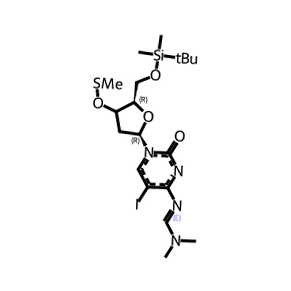 CSOC1C[C@H](n2cc(I)c(/N=C/N(C)C)nc2=O)O[C@@H]1CO[Si](C)(C)C(C)(C)C